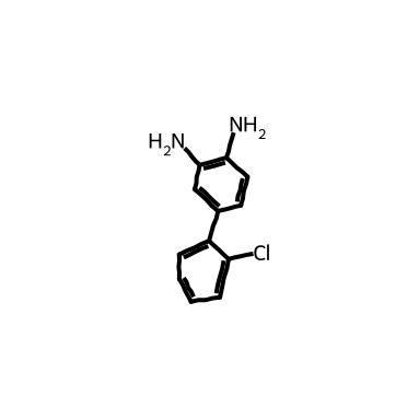 Nc1ccc(-c2ccccc2Cl)cc1N